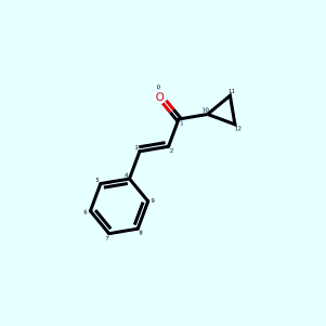 O=C(C=Cc1ccccc1)C1CC1